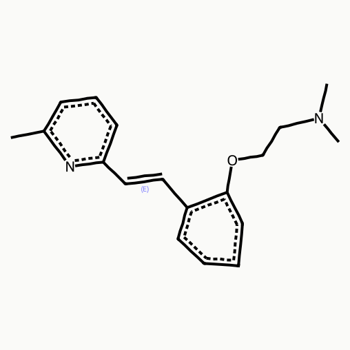 Cc1cccc(/C=C/c2ccccc2OCCN(C)C)n1